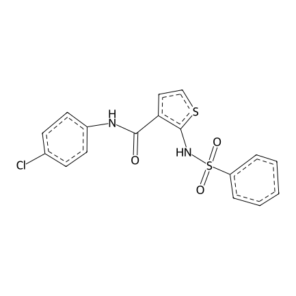 O=C(Nc1ccc(Cl)cc1)c1ccsc1NS(=O)(=O)c1ccccc1